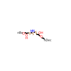 CCCCCCCCCCCCOCC(O)CSc1nnc(SCC(O)COCCCC)s1